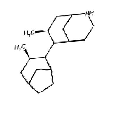 C[C@@H]1CC2CCC(C2)C1C1C2CCNC(C2)C[C@@H]1C